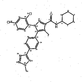 Cc1c(C(=O)NC2CCCCC2)nn(-c2ccc(Cl)cc2Cl)c1-c1ccc(-c2nnn(C)n2)cc1